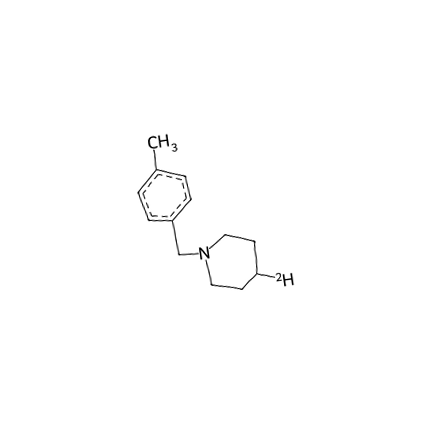 [2H]C1CCN(Cc2ccc(C)cc2)CC1